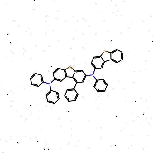 c1ccc(-c2cc(N(c3ccccc3)c3ccc4sc5ccccc5c4c3)cc3sc4ccc(N(c5ccccc5)c5ccccc5)cc4c23)cc1